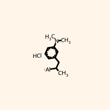 C[CH]([Al])Cc1cccc(N(C)C)c1.Cl